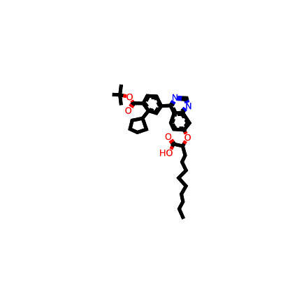 CCCCCCCCCC(Oc1ccc2c(-c3ccc(C(=O)OC(C)(C)C)c(C4CCCC4)c3)ncnc2c1)C(=O)O